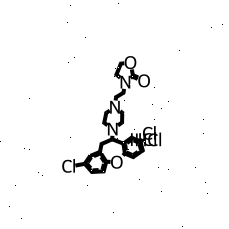 Cl.Cl.O=C1OCCN1CCN1CCN(C2Cc3cc(Cl)ccc3Oc3ccc(Cl)cc32)CC1